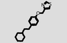 c1nc(COc2ccc(CCC3CCCCC3)cc2)cs1